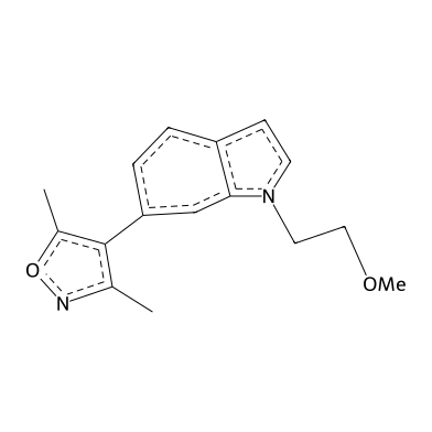 COCCn1ccc2ccc(-c3c(C)noc3C)cc21